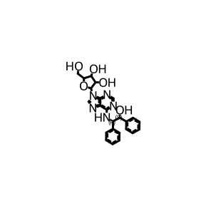 OCC1OC(n2cnc3c(N[C@H](c4ccccc4)[C@@H](O)c4ccccc4)ncnc32)C(O)C1O